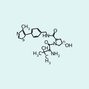 Cc1ncsc1-c1ccc(CNC(=O)[C@H]2C[C@H](O)CN2C(=O)C(N)C(C)(C)C)cc1